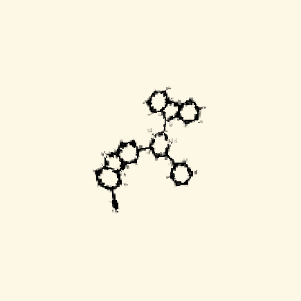 N#Cc1ccc2oc3ccc(-c4cc(-c5ccccc5)nc(-n5c6ccccc6c6ccccc65)n4)cc3c2c1